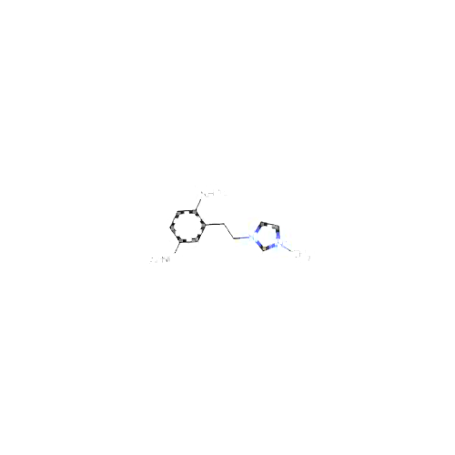 CC(=O)Nc1ccc(NC(C)=O)c(CCn2cc[n+](C)c2)c1